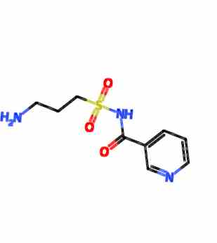 NCCCS(=O)(=O)NC(=O)c1cccnc1